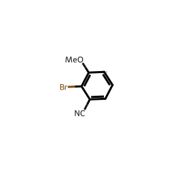 COc1[c]ccc(C#N)c1Br